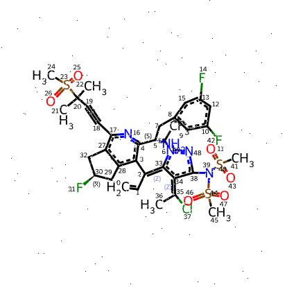 C=C/C(c1c([C@@H](N)Cc2cc(F)cc(F)c2)nc(C#CC(C)(C)S(C)(=O)=O)c2c1C[C@@H](F)C2)=c1\c(=C(/C)Cl)c(N(S(C)(=O)=O)S(C)(=O)=O)nn1CC(F)(F)F